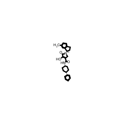 Cc1ccc2c(c1)[C@@H](N1CC(C(=O)N[C@H]3CC[C@@H](c4ccccc4)CC3)=C(O)C1=O)CC2